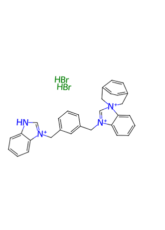 Br.Br.C1=[N+](Cc2cccc(C[n+]3c[nH]c4ccccc43)c2)c2ccccc2[N+]12Cc1ccc(cc1)C2